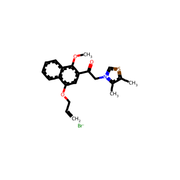 C=CCOc1cc(C(=O)C[n+]2csc(C)c2C)c(OC)c2ccccc12.[Br-]